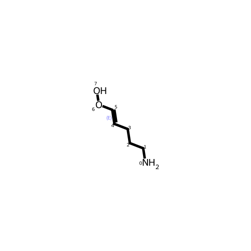 NCCC/C=C/OO